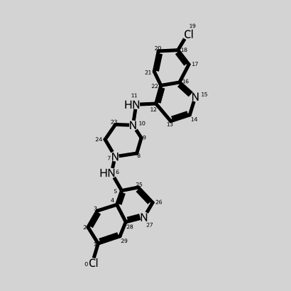 Clc1ccc2c(NN3CCN(Nc4ccnc5cc(Cl)ccc45)CC3)ccnc2c1